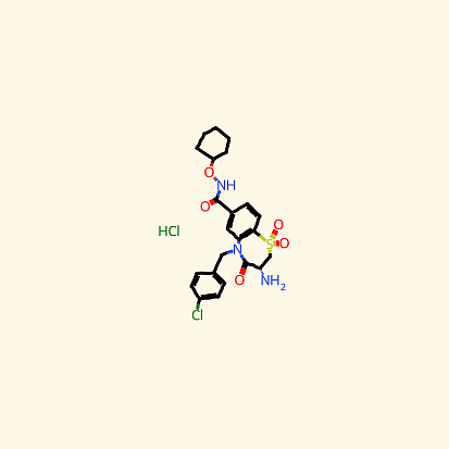 Cl.N[C@H]1CS(=O)(=O)c2ccc(C(=O)NOC3CCCCC3)cc2N(Cc2ccc(Cl)cc2)C1=O